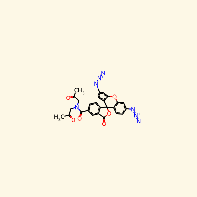 CC(=O)CN(CC(C)=O)C(=O)c1ccc2c(c1)C(=O)OC21c2ccc(N=[N+]=[N-])cc2Oc2cc(N=[N+]=[N-])ccc21